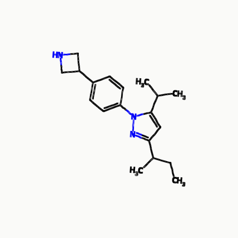 CCC(C)c1cc(C(C)C)n(-c2ccc(C3CNC3)cc2)n1